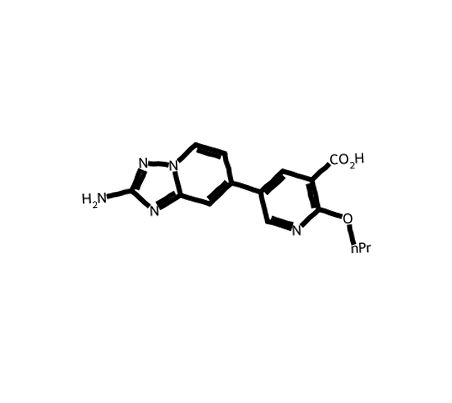 CCCOc1ncc(-c2ccn3nc(N)nc3c2)cc1C(=O)O